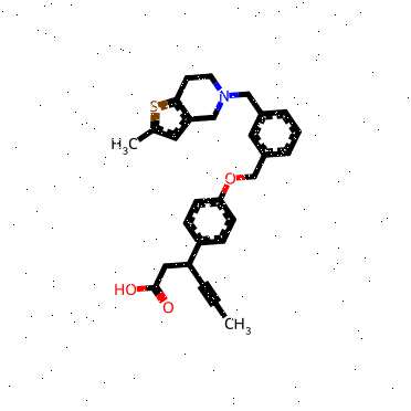 CC#CC(CC(=O)O)c1ccc(OCc2cccc(CN3CCc4sc(C)cc4C3)c2)cc1